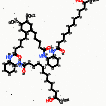 CCCCCCCCC1CC(CCCCC(=O)NC2CCCC[C@@H]2NC(=O)CCCCCCCCCCC(O)CCCCCC)C(CCCCC(=O)N[C@@H]2CCCC[C@H]2NC(=O)CCCCCCCCCCC(O)CCCCCC)CC1CCCCCCCC